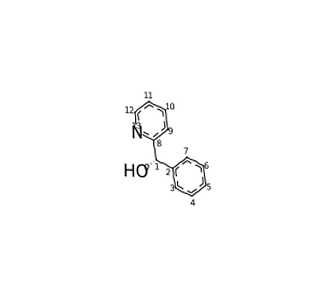 O[C@@H](c1ccccc1)c1ccccn1